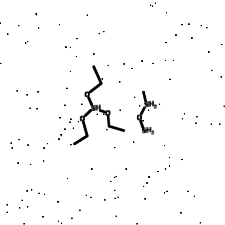 CCO[SiH](OCC)OCC.C[SiH2]O[SiH3]